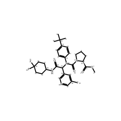 COC(=O)[C@@H]1CCCN1C(=O)N(c1ccc(C(C)(C)C)cc1)C(C(=O)NC1CCC(F)(F)CC1)c1cncc(F)c1